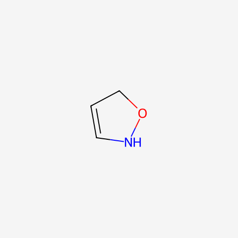 C1=CNOC1